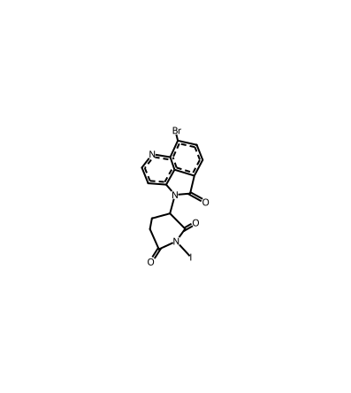 O=C1CCC(N2C(=O)c3ccc(Br)c4nccc2c34)C(=O)N1I